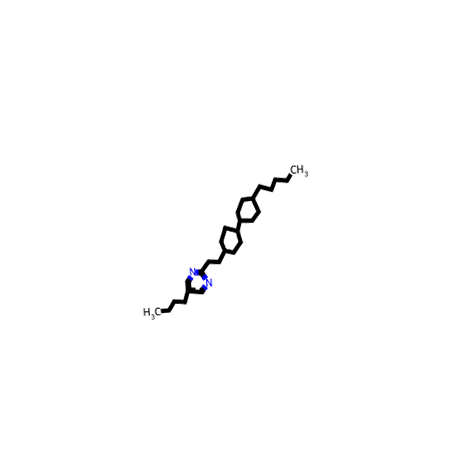 CCCCCC1CCC(C2CCC(CCc3ncc(CCCC)cn3)CC2)CC1